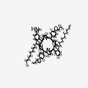 CCCCCCCCCCOc1ccccc1C1=C2C=CC(=N2)C(c2ccc(OCCC)cc2)=C2C=CC(=N2)C(c2ccccc2OCCCCCCCCCC)=C2C=CC(=N2)C(c2ccc(OCCC)cc2)=C2C=CC1=N2.CNC